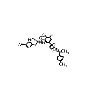 Cc1ccc([C@@H](C)NCc2ccc(-c3cc(F)c(Cl)c(C(=O)N[C@@H](CO)Cc4ccc(C#N)cc4)c3)o2)cc1